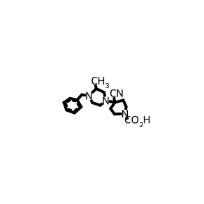 CC1CN(C2(C#N)CCN(C(=O)O)CC2)CCN1Cc1ccccc1